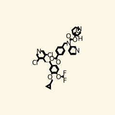 O=C(O[C@@H](Cc1c(Cl)cncc1Cl)c1ccc(OC(F)F)c(OCC2CC2)c1)c1ccc(CN(C(=O)O[C@H]2CN3CCC2CC3)c2cccnc2)cc1